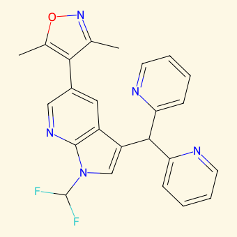 Cc1noc(C)c1-c1cnc2c(c1)c(C(c1ccccn1)c1ccccn1)cn2C(F)F